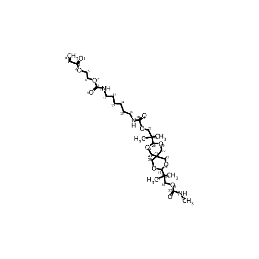 C=CC(=O)OCCOC(=O)NCCCCCCNC(=O)OCC(C)(C)C1OCC2(COC(C(C)(C)COC(=O)NC)OC2)CO1